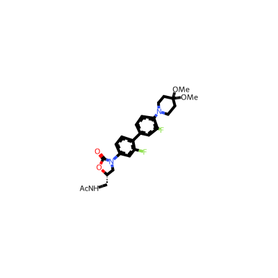 COC1(OC)CCN(c2ccc(-c3ccc(N4C[C@H](CNC(C)=O)OC4=O)cc3F)cc2F)CC1